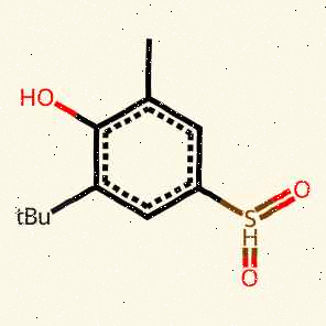 Cc1cc([SH](=O)=O)cc(C(C)(C)C)c1O